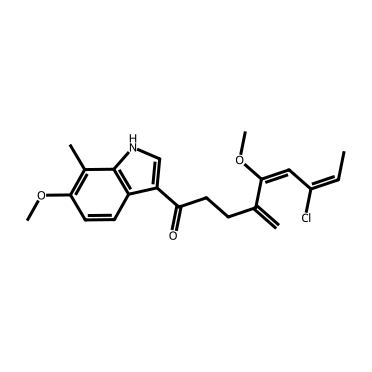 C=C(CCC(=O)c1c[nH]c2c(C)c(OC)ccc12)/C(=C\C(Cl)=C/C)OC